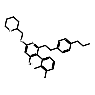 CCCc1ccc(CCc2nc(OCC3CCCCO3)cc(O)c2-c2cccc(C)c2C)cc1